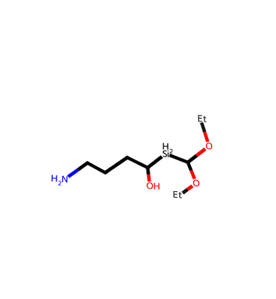 CCOC(OCC)[SiH2]C(O)CCCN